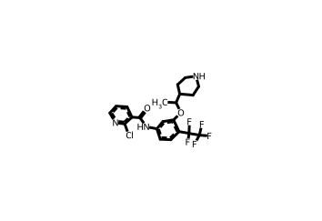 CC(Oc1cc(NC(=O)c2cccnc2Cl)ccc1C(F)(F)C(F)(F)F)C1CCNCC1